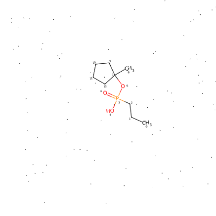 CCCP(=O)(O)OC1(C)CCCC1